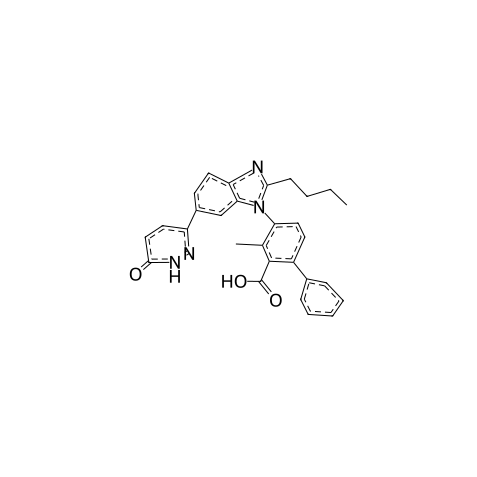 CCCCc1nc2ccc(-c3ccc(=O)[nH]n3)cc2n1-c1ccc(-c2ccccc2)c(C(=O)O)c1C